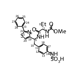 CC[C@H](NC(=O)OC)C(=O)N[C@@H](Cc1ccc(NS(=O)(=O)O)cc1)c1csc(-c2ccccc2)n1